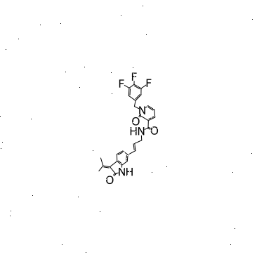 CC(C)=C1C(=O)Nc2cc(/C=C/CNC(=O)c3cccn(Cc4cc(F)c(F)c(F)c4)c3=O)ccc21